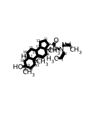 C/C=C\N(/N=C\C)PC(=O)[C@H]1CCC2C3CC[C@@H]4C[C@](C)(O)CC[C@]4(C)C3=CC[C@@]21C